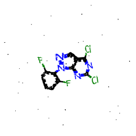 Fc1cccc(F)c1-n1ncc2c(Cl)nc(Cl)nc21